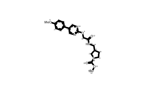 COc1ccc(-c2cnc(OCC(=O)NCC3CCN(C(=O)OC(C)(C)C)C3)nc2)cc1